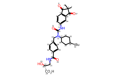 CC1(C)C(=O)c2ccc(NC(=O)N(Cc3ccc(C(=O)NC[C@@H](O)C(=O)O)cc3)C3CCC(C(C)(C)C)CC3)cc2C1=O